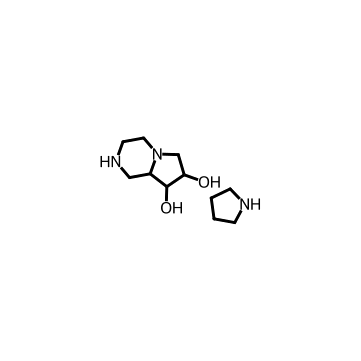 C1CCNC1.OC1CN2CCNCC2C1O